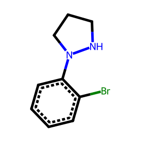 Brc1ccccc1N1CCCN1